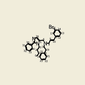 CCCCn1c(CN(CC=Cc2cccc(Br)c2)CCc2ccccc2)cnc1-c1ccccc1